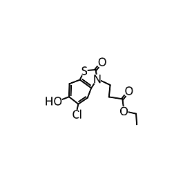 CCOC(=O)CCn1c(=O)sc2cc(O)c(Cl)cc21